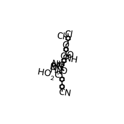 N#Cc1ccc(-c2ccc(C[C@H](NC(=O)C3Cc4cc5c(cc4CN3Cc3ncc[nH]3)OC(c3ccc(OCc4ccc(Cl)c(Cl)c4)cc3)C(=O)N5)C(=O)O)cc2)cc1